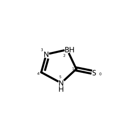 S=C1BN=CN1